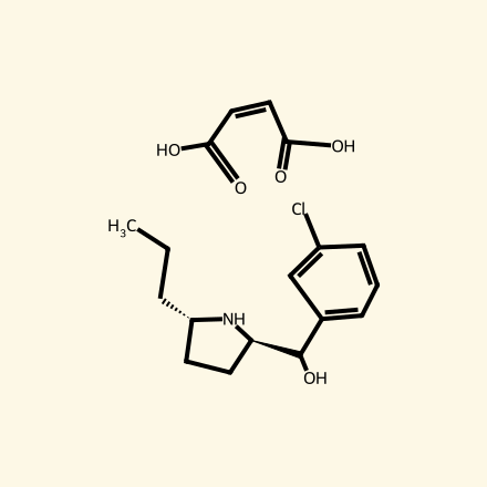 CCC[C@H]1CC[C@H](C(O)c2cccc(Cl)c2)N1.O=C(O)/C=C\C(=O)O